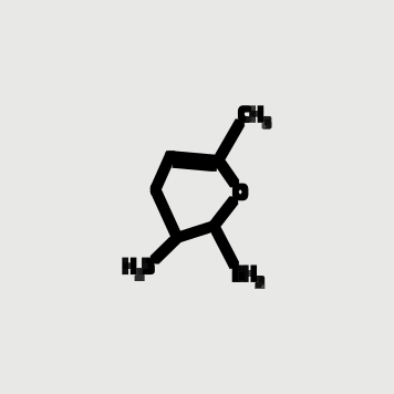 BC1CC=C(C)OC1B